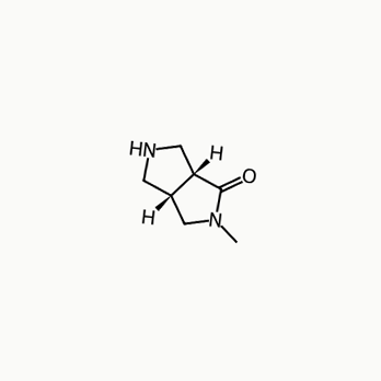 CN1C[C@@H]2CNC[C@@H]2C1=O